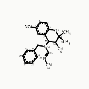 CC1(C)Oc2ccc(C#N)cc2C(N(C=NC#N)Cc2ccccc2)C1O